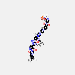 C=CC(=O)Nc1cc(Nc2nc(-c3ccnc(N4CCn5c(cc6c5CC(C)(C)C6)C4=O)c3CO)cn(C)c2=O)ccc1N1CCN(C2CCN(c3ccc4c(c3)C(=O)N(c3ccnc(C(C)(C)NP(=O)(O)O)c3)C4=O)[C@@H](C)C2)C[C@@H]1C